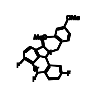 COc1ccc(CN2C(=O)c3ccc(F)c(Br)c3C2c2cc(F)ccc2C(F)F)c(OC)c1